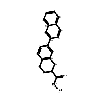 O=C(NO)C1CCc2ccc(-c3ccc4ccccc4c3)cc2C1